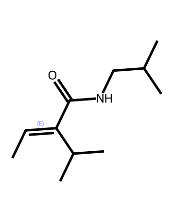 C/C=C(/C(=O)NCC(C)C)C(C)C